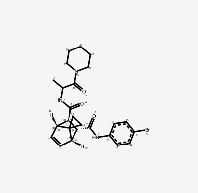 CC(NC(=O)[C@H]1[C@H](C(=O)Nc2ccc(Br)cc2)[C@@H]2C=C[C@H]1C21CC1)C(=O)N1CCCCC1